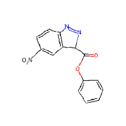 O=C(Oc1ccccc1)[C]1N=Nc2ccc([N+](=O)[O-])cc21